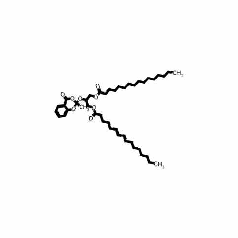 CCCCCCCCCCCCCCCC(=O)OCC(COC(=O)CCCCCCCCCCCCCCC)OC1(C)OC(=O)c2ccccc2O1